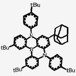 CC(C)(C)c1ccc(N2c3ccc(C(C)(C)C)cc3B3c4cc(C(C)(C)C)ccc4N(c4ccc(C(C)(C)C)cc4)c4cc(C56CC7CC(CC(C7)C5)C6)cc2c43)cc1